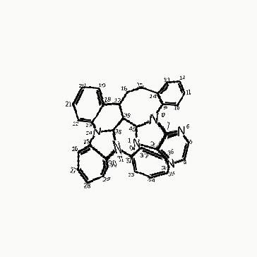 CN1c2nccnc2N2c3ccccc3CCC3c4ccccc4N4c5ccccc5N(c5ccccc5)C4C3C12